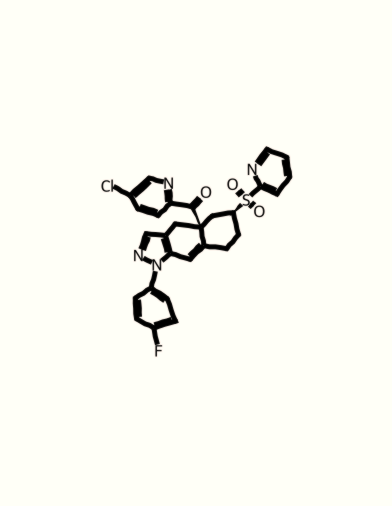 O=C(c1ccc(Cl)cn1)[C@]12Cc3cnn(-c4ccc(F)cc4)c3C=C1CC[C@H](S(=O)(=O)c1ccccn1)C2